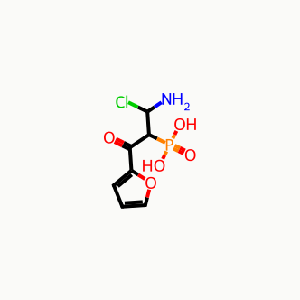 NC(Cl)C(C(=O)c1ccco1)P(=O)(O)O